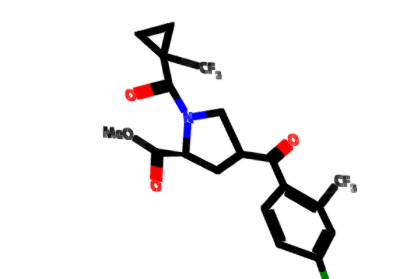 COC(=O)[C@@H]1CC(C(=O)c2ccc(Br)cc2C(F)(F)F)CN1C(=O)C1(C(F)(F)F)CC1